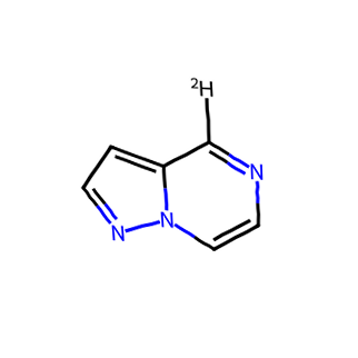 [2H]c1nccn2nccc12